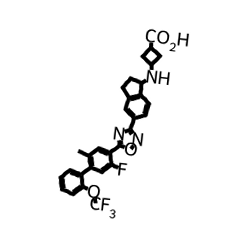 Cc1cc(-c2nc(-c3ccc4c(c3)CCC4NC3CC(C(=O)O)C3)no2)c(F)cc1-c1ccccc1OC(F)(F)F